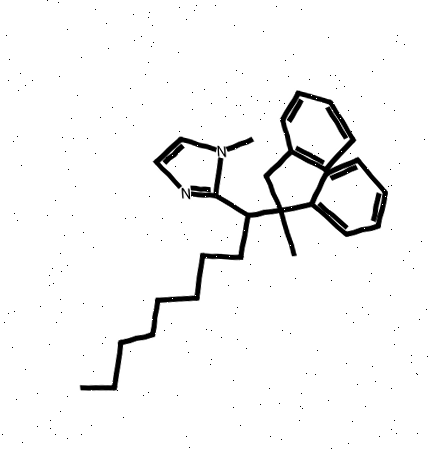 CCCCCCCCC(c1nccn1C)C(C)(Cc1ccccc1)c1ccccc1